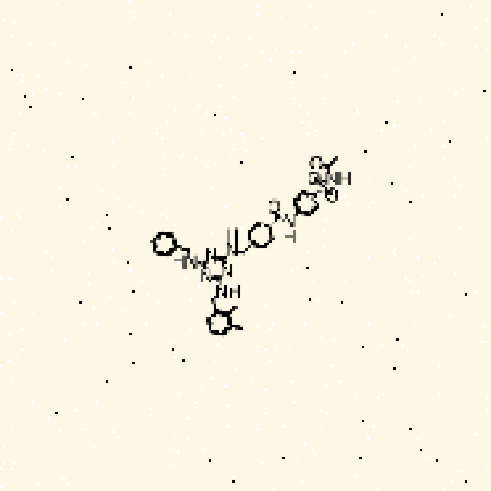 CC(=O)NS(=O)(=O)c1ccc(NC(=O)[C@H]2CC[C@H](CNc3nc(NCc4ccccc4)nc(NCc4cccc(C)c4C)n3)CC2)cc1